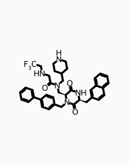 O=C1N[C@@H](Cc2ccc3ccccc3c2)C(=O)N(Cc2ccc(-c3ccccc3)cc2)[C@H]1CN(CC1CCNCC1)C(=O)CNCC(F)(F)F